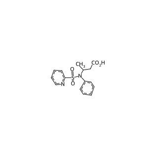 CC(CC(=O)O)N(c1ccccc1)S(=O)(=O)c1ccccn1